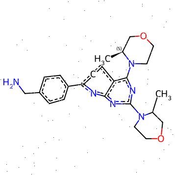 CC1COCCN1c1nc(N2CCOC[C@@H]2C)c2ccc(-c3ccc(CN)cc3)nc2n1